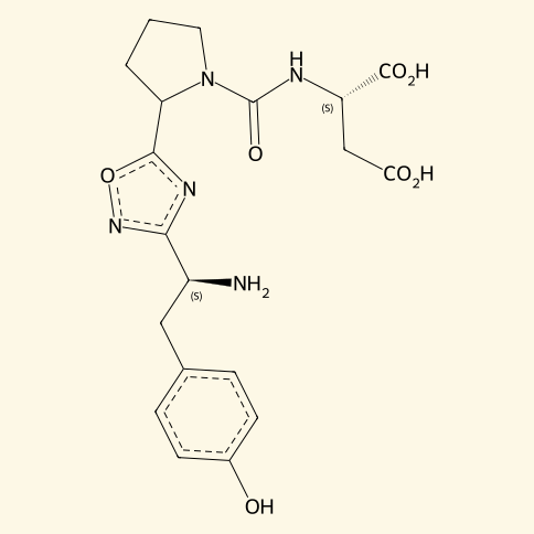 N[C@@H](Cc1ccc(O)cc1)c1noc(C2CCCN2C(=O)N[C@@H](CC(=O)O)C(=O)O)n1